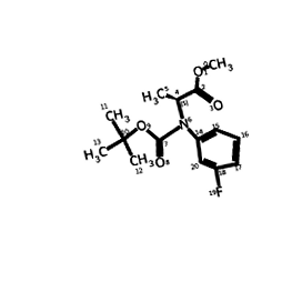 COC(=O)[C@H](C)N(C(=O)OC(C)(C)C)c1cccc(F)c1